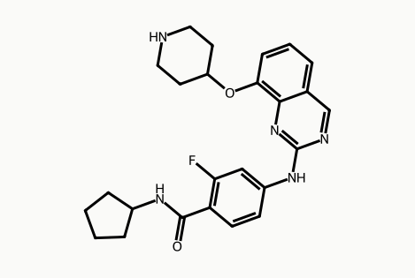 O=C(NC1CCCC1)c1ccc(Nc2ncc3cccc(OC4CCNCC4)c3n2)cc1F